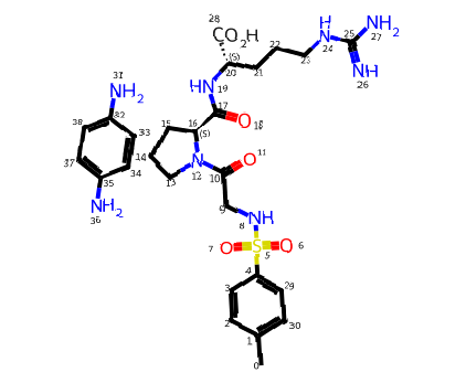 Cc1ccc(S(=O)(=O)NCC(=O)N2CCC[C@H]2C(=O)N[C@@H](CCCNC(=N)N)C(=O)O)cc1.Nc1ccc(N)cc1